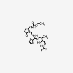 C=C(C/N=C(\NCCN1C(=O)CCC1CNC(=O)OCC)c1nccs1)C(=N)/C=C\NC(F)F